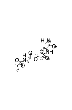 CCS(=O)(=O)NCC(=O)OCCS(=O)(=O)NCC(N)=O